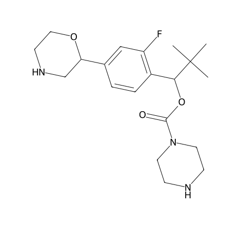 CC(C)(C)C(OC(=O)N1CCNCC1)c1ccc(C2CNCCO2)cc1F